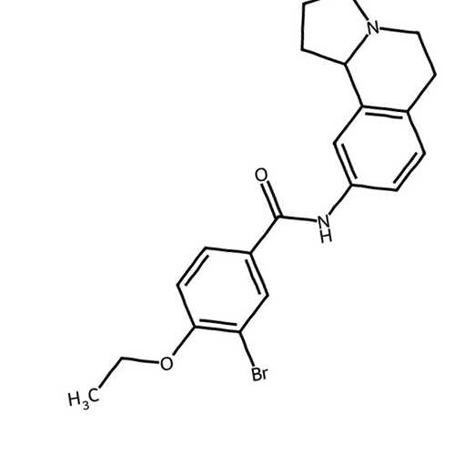 CCOc1ccc(C(=O)Nc2ccc3c(c2)C2CCCN2CC3)cc1Br